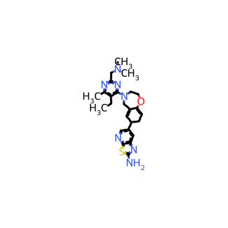 CCc1c(C)nc(CN(C)C)nc1N1CCOC2=CCC(c3cnc4sc(N)nc4c3)C=C2C1